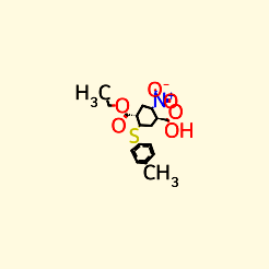 CCOC(=O)[C@@H]1C[C@H]([N+](=O)[O-])[C@@H](C(=O)O)C[C@@H]1Sc1ccc(C)cc1